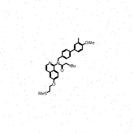 COc1ccc(-c2ccc(CN(C(=O)CC(C)(C)C)c3nccc4cc(OCCSC)ccc34)cc2)cc1C